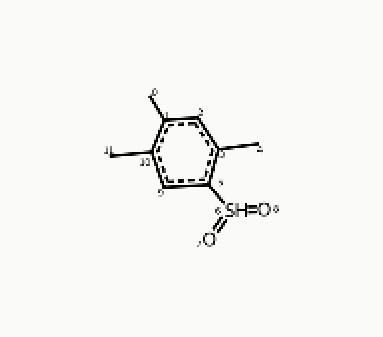 Cc1cc(C)c([SH](=O)=O)cc1C